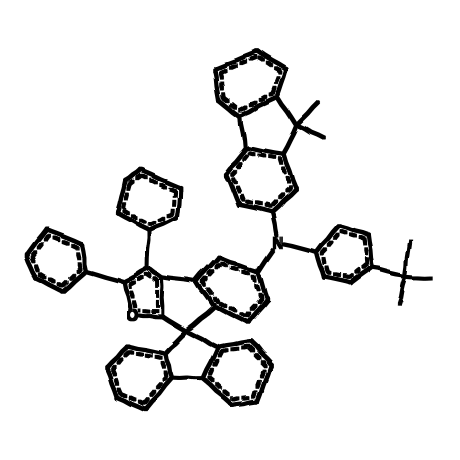 CC(C)(C)c1ccc(N(c2ccc3c(c2)-c2c(oc(-c4ccccc4)c2-c2ccccc2)C32c3ccccc3-c3ccccc32)c2ccc3c(c2)C(C)(C)c2ccccc2-3)cc1